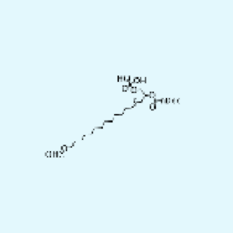 CCCCCCCCCCC(=O)O[C@H](COP(=O)(O)O)CSCCCCCCCCCCCCCOC=O